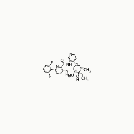 CC[C@]1(O)[C@H](O)C[C@H](c2ccncc2NC(=O)c2nc(-c3c(F)cccc3F)ccc2N)C[C@@H]1C